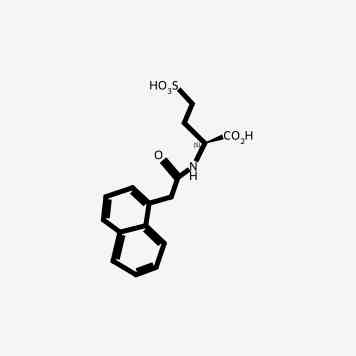 O=C(Cc1cccc2ccccc12)N[C@@H](CCS(=O)(=O)O)C(=O)O